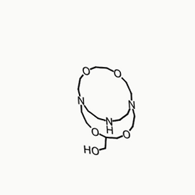 OCC1COCCN2CCNCCN(CCOCCOCC2)CCO1